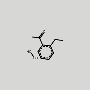 CCc1ccccc1C(C)=O.OO